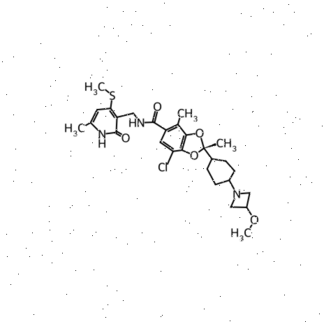 COC1CN(C2CCC([C@]3(C)Oc4c(Cl)cc(C(=O)NCc5c(SC)cc(C)[nH]c5=O)c(C)c4O3)CC2)C1